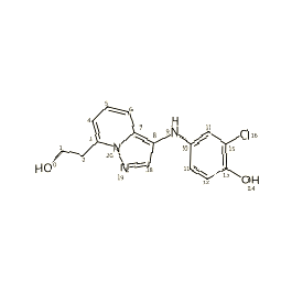 OCCc1cccc2c(Nc3ccc(O)c(Cl)c3)cnn12